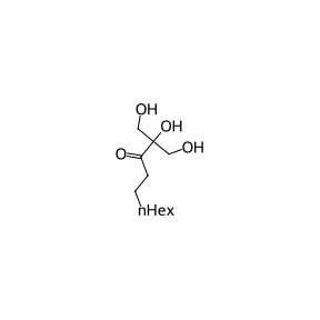 CCCCCCCCC(=O)C(O)(CO)CO